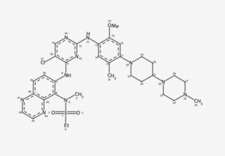 CCS(=O)(=O)N(C)c1c(Nc2nc(Nc3cc(C)c(N4CCC(N5CCN(C)CC5)CC4)cc3OC)ncc2Cl)ccc2nccnc12